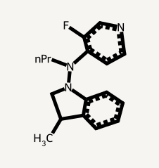 CCCN(c1ccncc1F)N1CC(C)c2ccccc21